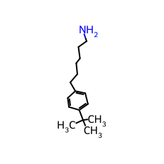 CC(C)(C)c1ccc(CCCCCCN)cc1